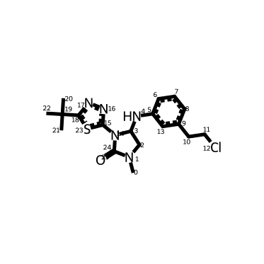 CN1CC(Nc2cccc(CCCl)c2)N(c2nnc(C(C)(C)C)s2)C1=O